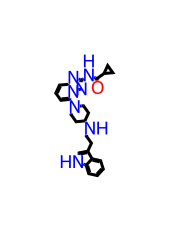 O=C(Nc1nc2cccc(N3CCC(NCCc4c[nH]c5ccccc45)CC3)n2n1)C1CC1